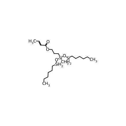 CC=CC(=O)OCCC[Si](C)(O[SiH2]CCCCCC)O[SiH2]CCCCCC